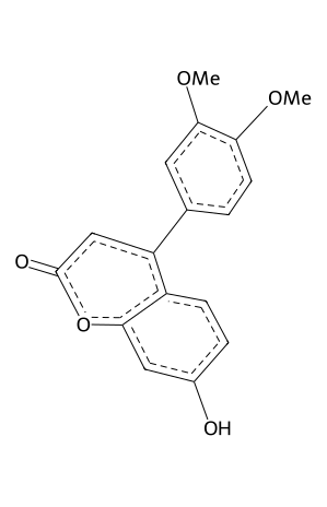 COc1ccc(-c2cc(=O)oc3cc(O)ccc23)cc1OC